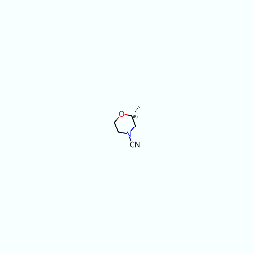 C[C@@H]1CN(C#N)CCO1